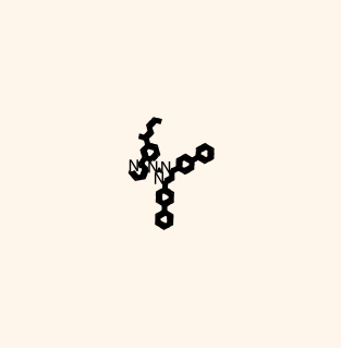 C/C=C\C=C(/C)c1ccc2c(c1)c1ncccc1n2-c1nc(-c2ccc(-c3ccccc3)cc2)cc(-c2ccc(-c3ccccc3)cc2)n1